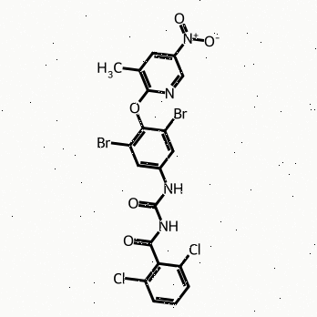 Cc1cc([N+](=O)[O-])cnc1Oc1c(Br)cc(NC(=O)NC(=O)c2c(Cl)cccc2Cl)cc1Br